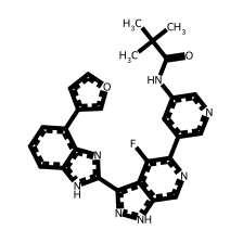 CC(C)(C)C(=O)Nc1cncc(-c2ncc3[nH]nc(-c4nc5c(-c6ccoc6)cccc5[nH]4)c3c2F)c1